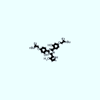 CCCCC(CC)COc1ccc(-c2nc(-c3ccc(OCC(CC)CCCC)cc3O)nc(-c3[nH]ccc3C)n2)c(O)c1